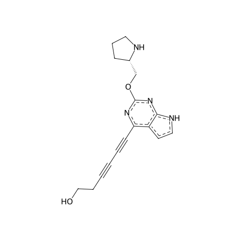 OCCC#CC#Cc1nc(OC[C@@H]2CCCN2)nc2[nH]ccc12